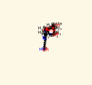 CC[C@H]1OC(=O)[C@H](C)[C@@H](O[C@H]2C[C@@](C)(OC)[C@@H](O)[C@H](C)O2)[C@H](C)[C@@H](O[C@@H]2O[C@H](C)C[C@H](N(C)Cc3ccc(-c4cn(CCCCCCCCC(=O)NO)nn4)cc3)[C@@H]2O)[C@](C)(O)C[C@@H](C)CN(C)[C@H](C)[C@@H](O)[C@]1(C)O